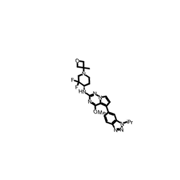 COc1nc(N[C@@H]2CCN(C3(C)COC3)CC2(F)F)nn2ccc(-c3ccc4nnn(C(C)C)c4c3)c12